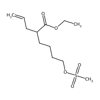 C=CCC(CCCCOS(C)(=O)=O)C(=O)OCC